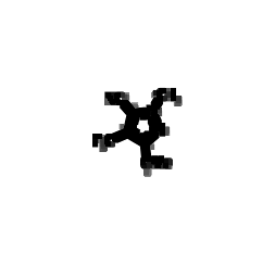 COc1nn(C)c(C#N)c1C(F)(F)F